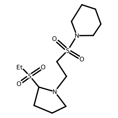 CCS(=O)(=O)C1CCCN1CCS(=O)(=O)N1CCCCC1